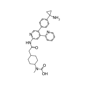 CN(C(=O)O)C1CCC(CC(=O)Nc2cc(-c3ccccn3)c(-c3ccc(C4(N)CC4)cc3)cn2)CC1